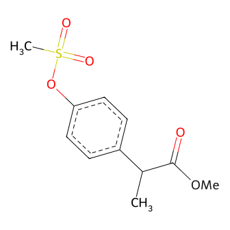 COC(=O)C(C)c1ccc(OS(C)(=O)=O)cc1